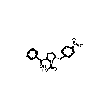 O=C(O)N1[C@@H](Cc2ccc([N+](=O)[O-])cc2)CC[C@@H]1C(O)c1ccccc1